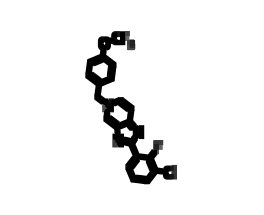 Fc1c(Cl)cccc1-c1nc2ccn(Cc3ccc(OC(F)(F)F)cc3)cc-2n1